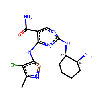 Cc1nsc(Nc2nc(N[C@@H]3CCCC[C@@H]3N)ncc2C(N)=O)c1Cl